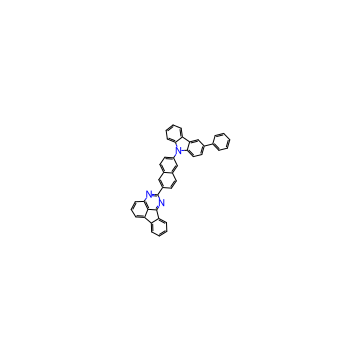 c1ccc(-c2ccc3c(c2)c2ccccc2n3-c2ccc3cc(-c4nc5c6c(cccc6n4)-c4ccccc4-5)ccc3c2)cc1